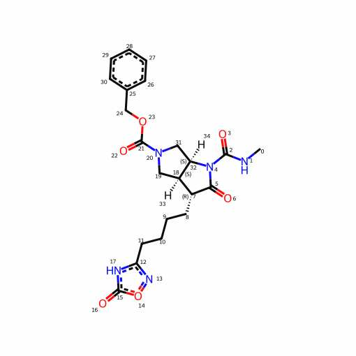 CNC(=O)N1C(=O)[C@H](CCCCc2noc(=O)[nH]2)[C@H]2CN(C(=O)OCc3ccccc3)C[C@H]21